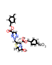 Cc1ccc(COC(=O)c2cnn(C[C@]3(C)S[C@H]4CC(=O)N4[C@H]3C(=O)OCc3ccc([N+](=O)[O-])cc3)n2)cc1